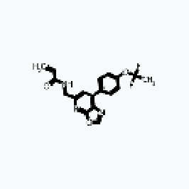 C=CC(=O)NCc1cc(-c2ccc(OC(C)(F)F)cc2)c2ncoc2n1